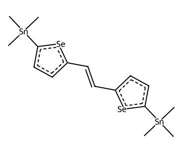 [CH3][Sn]([CH3])([CH3])[c]1ccc(C=Cc2cc[c]([Sn]([CH3])([CH3])[CH3])[se]2)[se]1